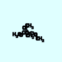 C=CCOc1ccc(C/C=C(/C(=O)CC)c2ccc(OC)cc2OC)cc1